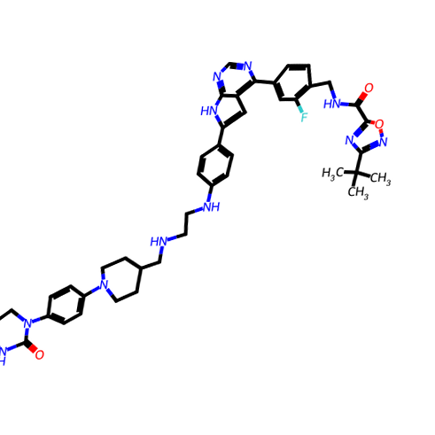 CC(C)(C)c1noc(C(=O)NCc2ccc(-c3ncnc4[nH]c(-c5ccc(NCCNCC6CCN(c7ccc(N8CCC(=O)NC8=O)cc7)CC6)cc5)cc34)cc2F)n1